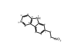 O=[N+]([O-])CCc1ccc2c(c1)[nH]c1ccncc12